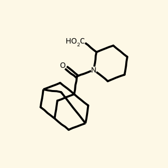 O=C(O)C1CCCCN1C(=O)C12CC3CC(CC(C3)C1)C2